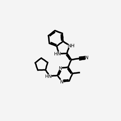 Cc1cnc(NC2CCCC2)nc1C(C#N)=C1Nc2ccccc2N1